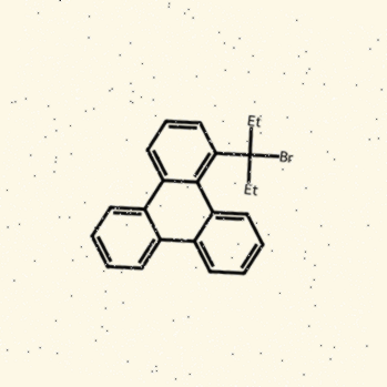 CCC(Br)(CC)c1cccc2c3ccccc3c3ccccc3c12